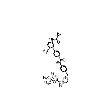 Cc1ccc(NC(=O)C2CC2)cc1-c1ccc(C(=O)Nc2ccc(CN3CC[C@H](NC(=O)OC(C)(C)C)C3)cc2)cc1